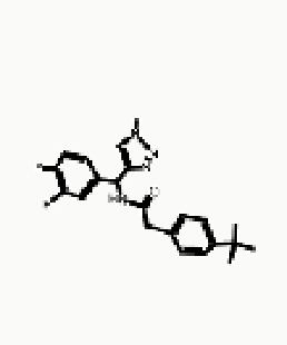 Cn1cc(C(NC(=O)Cc2ccc(C(C)(C)C)cc2)c2ccc(F)c(F)c2)nn1